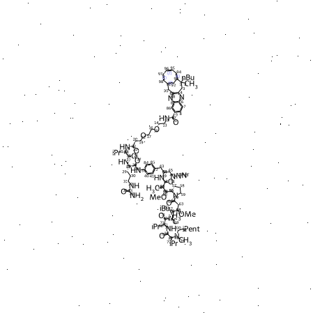 CCCCC1(C)Cc2nc3ccc(C(=O)NCCOCCOCCC(=O)N[C@H](C(=O)N[C@@H](CCCNC(N)=O)C(=O)Nc4ccc(C[C@@H](CN=[N+]=[N-])NC(=O)[C@H](C)[C@@H](OC)[C@@H]5CCCN5C(=O)C[C@@H](OC)[C@H]([C@@H](C)CC)N(C)C(=O)[C@@H](NC(=O)[C@H](C(C)C)N(C)CC(C)CCC)C(C)C)cc4)C(C)C)cc3nc2CC2=C/C1=C\C=C/C=C\2